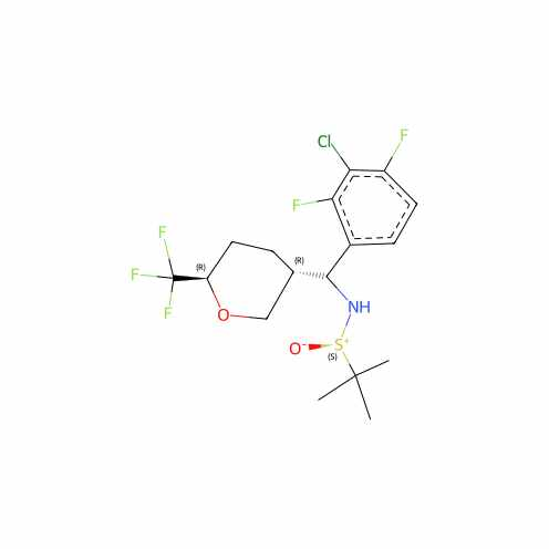 CC(C)(C)[S@@+]([O-])NC(c1ccc(F)c(Cl)c1F)[C@H]1CC[C@H](C(F)(F)F)OC1